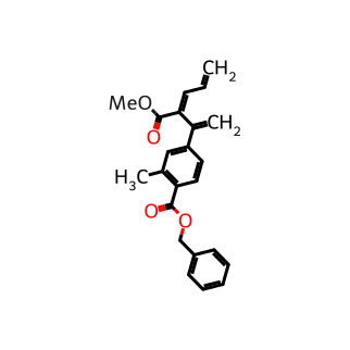 C=C/C=C(\C(=C)c1ccc(C(=O)OCc2ccccc2)c(C)c1)C(=O)OC